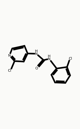 O=C(Nc1ccnc(Cl)c1)Nc1ccccc1Cl